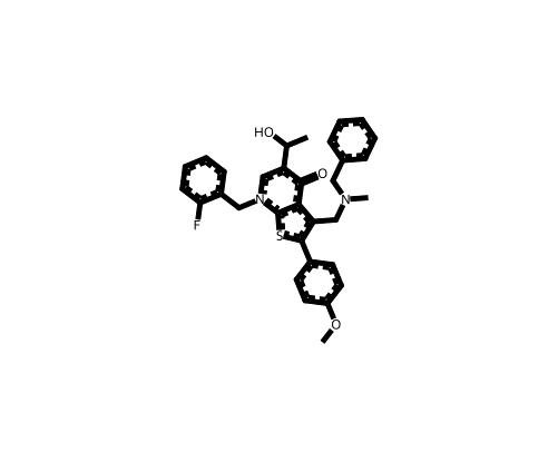 COc1ccc(-c2sc3c(c2CN(C)Cc2ccccc2)c(=O)c(C(C)O)cn3Cc2ccccc2F)cc1